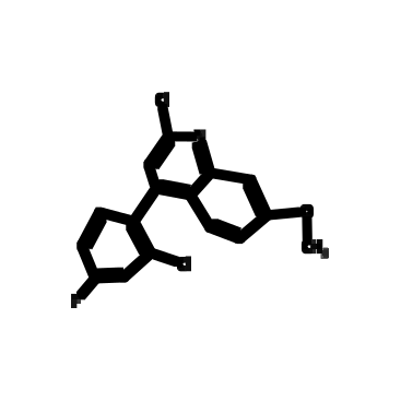 COc1ccc2c(-c3ccc(F)cc3Cl)cc(Cl)nc2c1